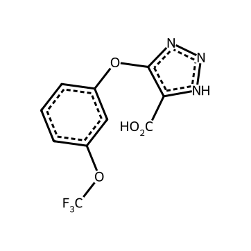 O=C(O)c1[nH]nnc1Oc1cccc(OC(F)(F)F)c1